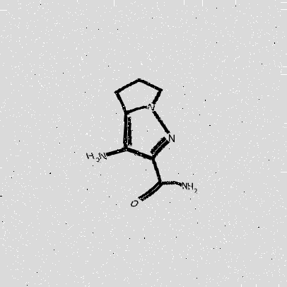 NC(=O)c1nn2c(c1N)CCC2